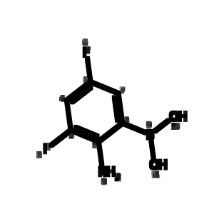 Nc1c(F)cc(F)cc1B(O)O